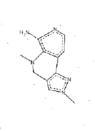 CN1Cc2cn(C)nc2-c2ccnc(N)c21